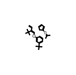 C=CC(=COc1cccc(C(C)(C)C)c1)C(C)(C)C.C[C](C)=[Ti][C]1=CC=CC1